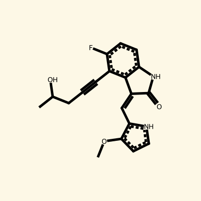 COc1cc[nH]c1/C=C1\C(=O)Nc2ccc(F)c(C#CCC(C)O)c21